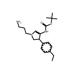 CCc1ccc(C2CN(CCCN)C=C2NC(=O)OC(C)(C)C)cc1